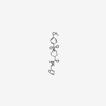 Cc1ccc(S(=O)(=O)N2CCC(C(=O)N/N=C/c3ccco3)CC2)cc1